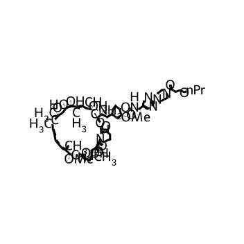 CCCOCCC(=O)N1CCN(c2ncc(CNC(=O)O[C@@H]3CCC(C[C@@H](N)[C@@H]4C[C@@H](O)[C@H](C)/C=C(\C)[C@@H](O)[C@@H](O)C(=O)[C@H](C)C[C@H](C)/C=C/C=C/C=C(\C)[C@@H](OC)C[C@@H]5CC[C@@H](C)[C@@](O)(O5)C(=O)C(=O)N5CCCC[C@H]5C(=O)O4)C[C@H]3OC)cn2)CC1